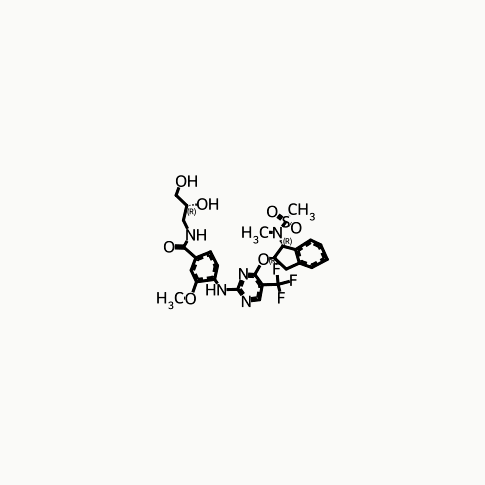 COc1cc(C(=O)NC[C@@H](O)CO)ccc1Nc1ncc(C(F)(F)F)c(O[C@@H]2Cc3ccccc3[C@H]2N(C)S(C)(=O)=O)n1